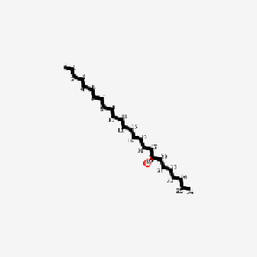 CCCCCCCCCCCCCCCCCCC(=O)CCCCCCC